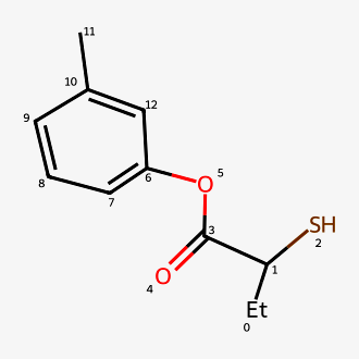 CCC(S)C(=O)Oc1cccc(C)c1